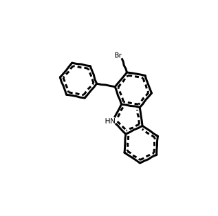 Brc1ccc2c([nH]c3ccccc32)c1-c1ccccc1